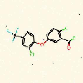 O=C(Cl)c1cc(Oc2ccc(C(F)(F)F)cc2Cl)ccc1Cl